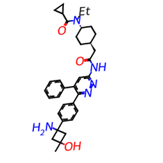 CCN(C(=O)C1CC1)[C@H]1CC[C@H](CC(=O)Nc2cc(-c3ccccc3)c(-c3ccc(C4(N)CC(C)(O)C4)cc3)nn2)CC1